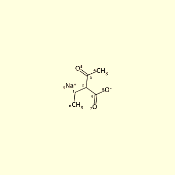 CCC(C(C)=O)C(=O)[O-].[Na+]